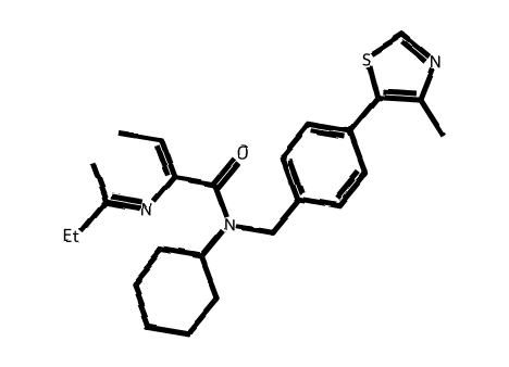 C/C=C(\N=C(/C)CC)C(=O)N(Cc1ccc(-c2scnc2C)cc1)C1CCCCC1